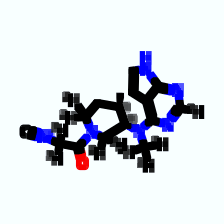 [2H]c1nc(N([C@@H]2[C@H](C)CC([2H])([2H])N(C(=O)C([2H])([2H])[N+]#[C-])C2([2H])[2H])C([2H])([2H])[2H])c2cc[nH]c2n1